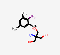 Cc1cc(C)c(P)c(C)c1.NC(CO)(CO)CO